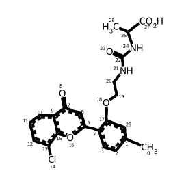 Cc1ccc(-c2cc(=O)c3cccc(Cl)c3o2)c(OCCNC(=O)NC(C)C(=O)O)c1